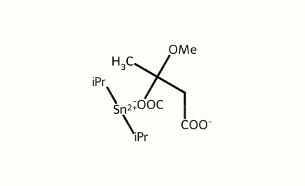 COC(C)(CC(=O)[O-])C(=O)[O-].C[CH](C)[Sn+2][CH](C)C